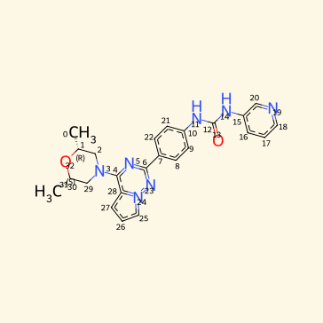 C[C@@H]1CN(c2nc(-c3ccc(NC(=O)Nc4cccnc4)cc3)nn3cccc23)C[C@H](C)O1